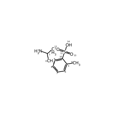 CC(C)N.Cc1ccccc1S(=O)(=O)O